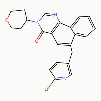 O=c1c2cc(Cc3ccc(Cl)nc3)c3ccccc3c2ncn1C1CCOCC1